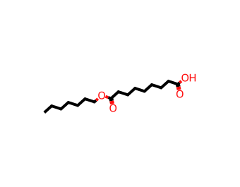 CCCCCCCOC(=O)CCCCCCCC(=O)O